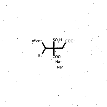 CCCCCC(CC)C(CC(=O)[O-])(C(=O)[O-])S(=O)(=O)O.[Na+].[Na+]